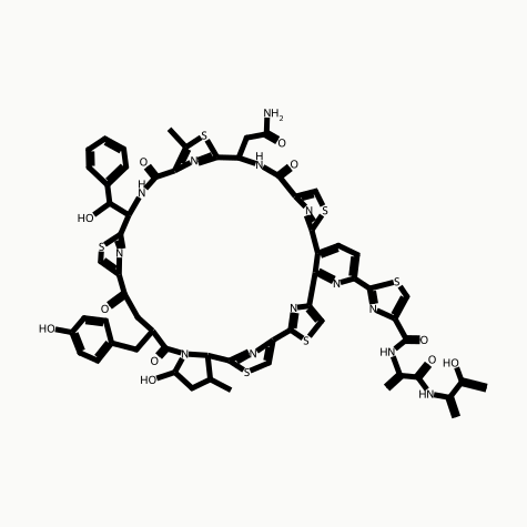 C=C(O)C(=C)NC(=O)C(=C)NC(=O)c1csc(-c2ccc3c(n2)-c2csc(n2)-c2csc(n2)C2C(C)CC(O)N2C(=O)C(Cc2ccc(O)cc2)CC(=O)c2csc(n2)C(C(O)c2ccccc2)NC(=O)c2nc(sc2C)C(CC(N)=O)NC(=O)c2csc-3n2)n1